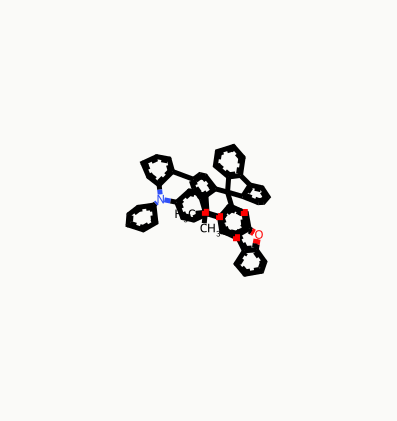 CC1(C)c2ccccc2C2(c3ccccc3-c3ccccc32)c2ccc(-c3ccccc3N(c3ccccc3)c3ccc(-c4ccc5oc6ccccc6c5c4)cc3)cc21